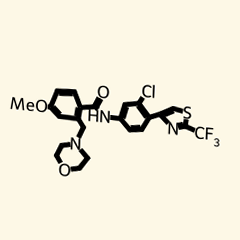 COc1ccc(C(=O)Nc2ccc(-c3csc(C(F)(F)F)n3)c(Cl)c2)c(CN2CCOCC2)c1